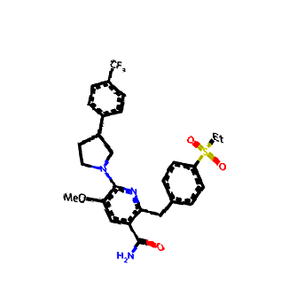 CCS(=O)(=O)c1ccc(Cc2nc(N3CCC(c4ccc(C(F)(F)F)cc4)C3)c(OC)cc2C(N)=O)cc1